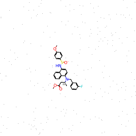 COC(=O)C[C@H](C)N(Cc1cccc(F)c1)c1ccc(N[S+]([O-])c2ccc(OC)cc2)c2ccccc12